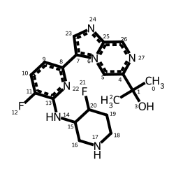 CC(C)(O)c1cn2c(-c3ccc(F)c(NC4CNCCC4F)n3)cnc2cn1